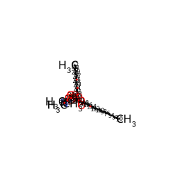 CCCCCCCCCCCCCCCCCCCC(=O)OC[C@H](COP(=O)([O-])OCC[N+](C)(C)C)OC(=O)CCCCCCCCCCCCCC